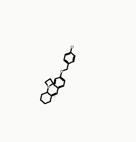 Clc1ccc(COc2ccc(/C=C3/CCCCC3N3CCC3)cc2)cc1